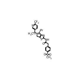 CC(C)[C@H]1c2nc(NC(=O)Cc3ccc(S(C)(=O)=O)cc3)sc2CN1[C@@H](C)c1ccc(C(F)(F)F)nc1